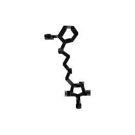 CC(C)(C)c1ccccc1OCCSCc1n[nH]c(=O)[nH]1